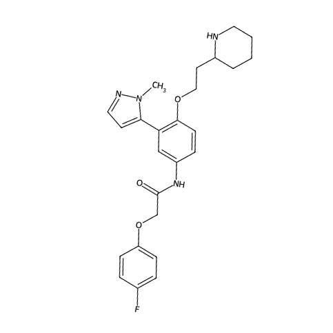 Cn1nccc1-c1cc(NC(=O)COc2ccc(F)cc2)ccc1OCCC1CCCCN1